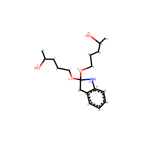 CC(O)CCCOC1(OCCCC(C)O)Cc2ccccc2N1